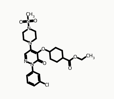 CCOC(=O)C1CCC(Oc2c(N3CCN(S(C)(=O)=O)CC3)cnn(-c3cccc(Cl)c3)c2=O)CC1